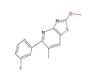 COc1nc2nc(-c3cccc(F)c3)c(C)cc2s1